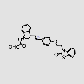 O=CC(=O)ON1CC(/C=C/c2ccc(OCCn3c(=O)sc4ccccc43)cc2)c2ccccc21